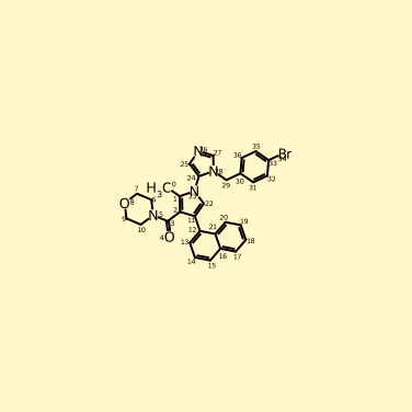 Cc1c(C(=O)N2CCOCC2)c(-c2cccc3ccccc23)cn1-c1cncn1Cc1ccc(Br)cc1